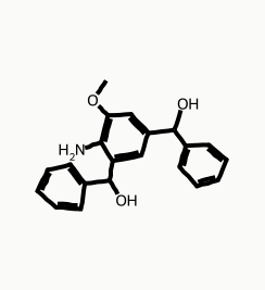 COc1cc(C(O)c2ccccc2)cc(C(O)c2ccccc2)c1N